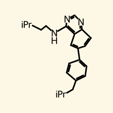 CC(C)CCNc1ncnc2ccc(-c3ccc(CC(C)C)cc3)cc12